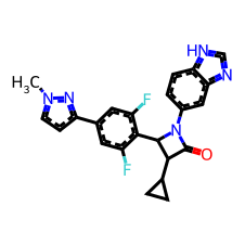 Cn1ccc(-c2cc(F)c(C3C(C4CC4)C(=O)N3c3ccc4[nH]cnc4c3)c(F)c2)n1